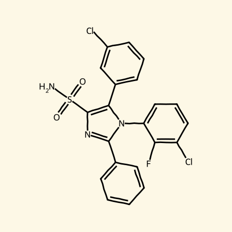 NS(=O)(=O)c1nc(-c2ccccc2)n(-c2cccc(Cl)c2F)c1-c1cccc(Cl)c1